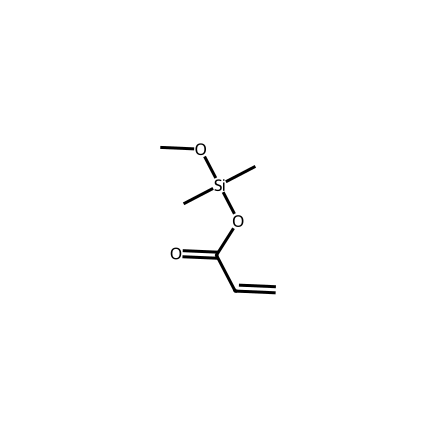 C=CC(=O)O[Si](C)(C)OC